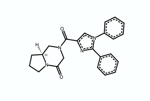 O=C(c1cn(-c2ccccc2)c(-c2ccccc2)n1)N1CC(=O)N2CCC[C@H]2C1